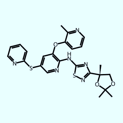 Cc1ncccc1Oc1cc(Sc2ccccn2)cnc1Nc1nc([C@]2(C)COC(C)(C)O2)ns1